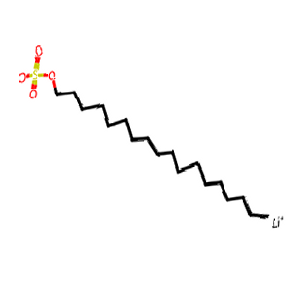 CCCCCCCCCCCCCCCCCCOS(=O)(=O)[O-].[Li+]